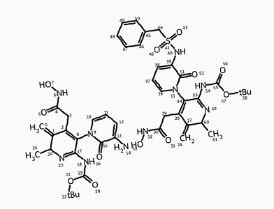 C=C1C(CC(=O)NO)=C(n2cccc(N)c2=O)C(NC(=O)OC(C)(C)C)=NC1C.C=C1C(CC(=O)NO)=C(n2cccc(NS(=O)(=O)Cc3ccccc3)c2=O)C(NC(=O)OC(C)(C)C)=NC1C